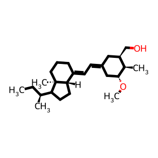 CC[C@H](C)C1CC[C@H]2/C(=C/C=C3/C[C@@H](CO)[C@@H](C)[C@H](OC)C3)CCC[C@]12C